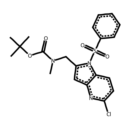 CN(Cc1cc2nc(Cl)ccc2n1S(=O)(=O)c1ccccc1)C(=O)OC(C)(C)C